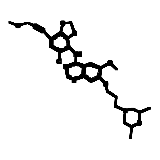 COCC#Cc1cc(Cl)c(Nc2ncnc3cc(OCCCN4CC(C)OC(C)C4)c(OC)cc23)c2c1OCO2